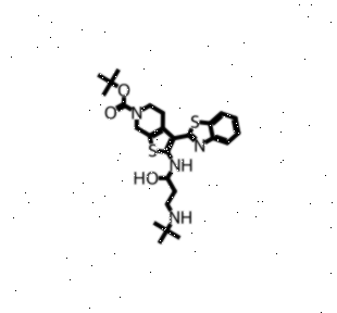 CC(C)(C)NCCC(O)Nc1sc2c(c1-c1nc3ccccc3s1)CCN(C(=O)OC(C)(C)C)C2